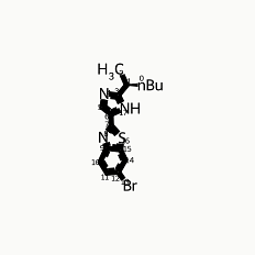 CCCC[C@H](C)c1ncc(-c2nc3ccc(Br)cc3s2)[nH]1